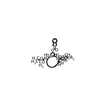 CN(C)S(=O)(=O)NC(=O)[C@@]12C[C@H]1/C=C\CCCCC[C@H](NC(=O)OC(C)(C)C)C(=O)N1C[C@H](OC(=O)N3Cc4ccccc4C3)C[C@H]1C(=O)N2